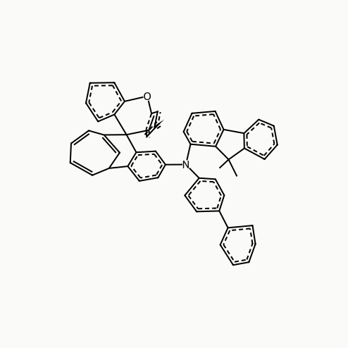 CC1(C)c2ccccc2-c2cccc(N(c3ccc(-c4ccccc4)cc3)c3ccc4c(c3)C3(C5=CC4C=CC=C5)c4ccccc4Oc4ccccc43)c21